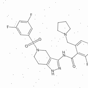 O=C(Nc1n[nH]c2c1CN(S(=O)(=O)c1cc(F)cc(F)c1)CC2)c1c(F)cccc1CN1CCCC1